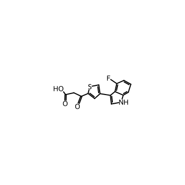 O=C(O)CC(=O)c1cc(-c2c[nH]c3cccc(F)c23)cs1